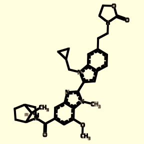 COc1cc(C(=O)N2CC3CCC2[C@@H]3C)cc2nc(-c3cc4ccc(CCN5CCOC5=O)cc4n3CC3CC3)n(C)c12